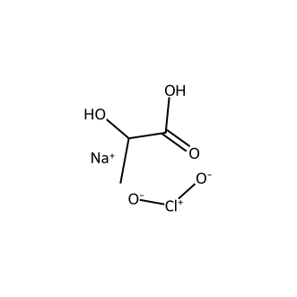 CC(O)C(=O)O.[Na+].[O-][Cl+][O-]